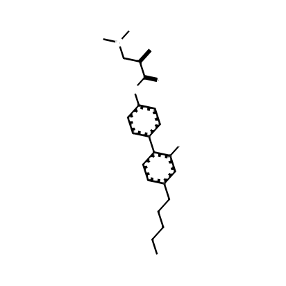 C=C(CN(C)C)C(=O)Oc1ccc(-c2ccc(CCCCC)cc2F)cc1